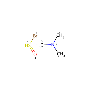 CN(C)C.O=[SH]Br